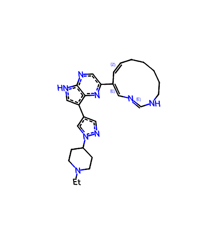 CCN1CCC(n2cc(-c3c[nH]c4ncc(C5=C/N=C/NCCCCC/C=C\5)nc34)cn2)CC1